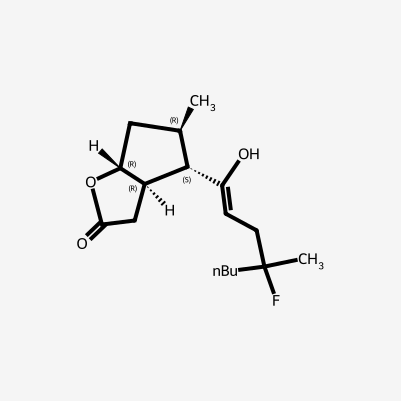 CCCCC(C)(F)CC=C(O)[C@@H]1[C@H]2CC(=O)O[C@@H]2C[C@H]1C